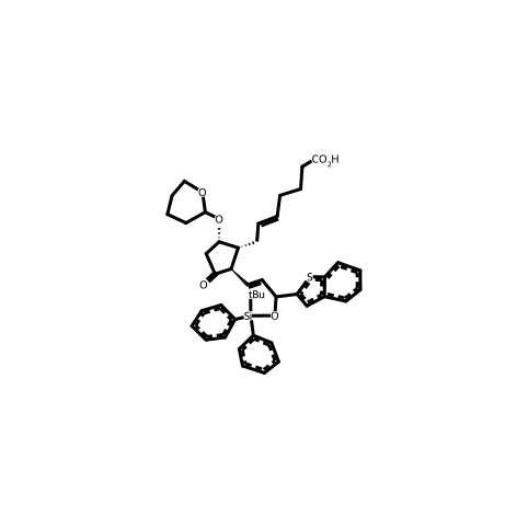 CC(C)(C)[Si](OC(C=C[C@H]1C(=O)C[C@H](OC2CCCCO2)[C@@H]1CC=CCCCC(=O)O)c1cc2ccccc2s1)(c1ccccc1)c1ccccc1